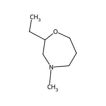 CCC1CN(C)CCCO1